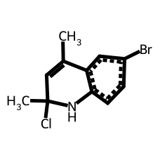 CC1=CC(C)(Cl)Nc2ccc(Br)cc21